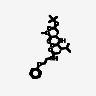 COC(=O)[C@H](CC(=O)OC(C)(C)C)NC(=O)[C@@H](CC(=O)NCCOc1ccccc1)C(C)C